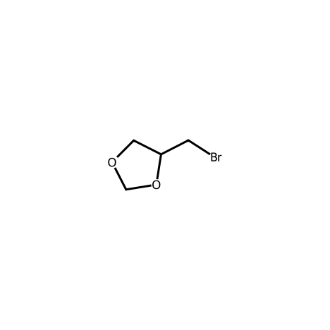 BrCC1COCO1